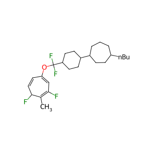 CCCCC1CCCC(C2CCC(C(F)(F)OC3=CC(F)=C(C)C(F)C=C3)CC2)CC1